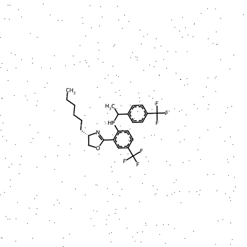 CCCCCC[C@H]1COC(c2cc(C(F)(F)F)ccc2PC(C)c2ccc(C(F)(F)F)cc2)=N1